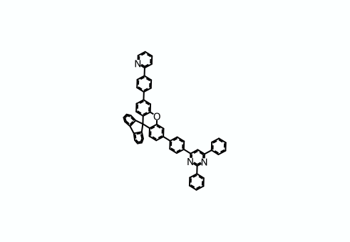 c1ccc(-c2cc(-c3ccc(-c4ccc5c(c4)Oc4cc(-c6ccc(-c7ccccn7)cc6)ccc4C54c5ccccc5-c5ccccc54)cc3)nc(-c3ccccc3)n2)cc1